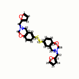 c1coc(CN2COc3ccc(SSc4ccc5c(c4)CN(Cc4ccco4)CO5)cc3C2)c1